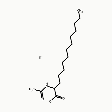 CCCCCCCCCCCCC(NC(C)=O)C(=O)[O-].[K+]